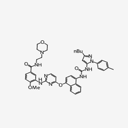 CCCCc1cc(NC(=O)Nc2ccc(Oc3ccnc(Nc4cc(C(=O)NCCN5CCOCC5)ccc4OC)n3)c3ccccc23)n(-c2ccc(C)cc2)n1